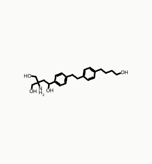 NC(CO)(CO)CC(O)c1ccc(CCc2ccc(CCCCO)cc2)cc1